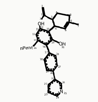 C=C(C)C1CCC(C)=CC1c1c(O)cc(CCCCC)c(-c2ccc(-c3cccnc3)cc2)c1O